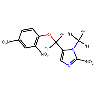 [2H]C([2H])(Oc1ccc([N+](=O)[O-])cc1[N+](=O)[O-])c1cnc([N+](=O)[O-])n1C([2H])([2H])[2H]